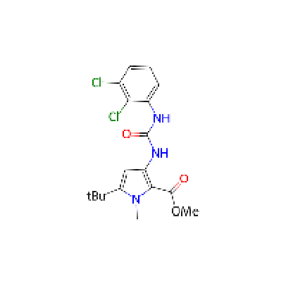 COC(=O)c1c(NC(=O)Nc2cccc(Cl)c2Cl)cc(C(C)(C)C)n1C